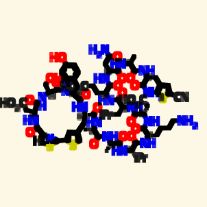 CC(C)C[C@H](NC(=O)[C@H](CC(=O)O)NC(=O)[C@H](CCCCN)NC(=O)[C@@H](NC(=O)[C@H](C)NC(=O)[C@H](C)NC(=O)[C@@H]1Cc2csc(c2)C2=N[C@@H](CS2)C(=O)N[C@@H](CC(=O)O)C(=O)N[C@@H](CO)C(=O)N[C@@H](Cc2ccc(O)cc2)C(=O)N1)C(C)C)C(=O)N[C@@H](CCC(=O)O)C(=O)N[C@@H](CC(N)=O)C(=O)N[C@@H](C)C(=O)N[C@@H](Cc1csc(C#N)c1)C(N)=O